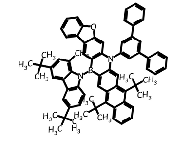 Cc1cc(C(C)(C)C)cc2c3cc(C(C)(C)C)ccc3n(B3c4cc5c(cc4N(c4cc(-c6ccccc6)cc(-c6ccccc6)c4)c4cc6c(C(C)(C)C)c7ccccc7c(C(C)(C)C)c6cc43)oc3ccccc35)c12